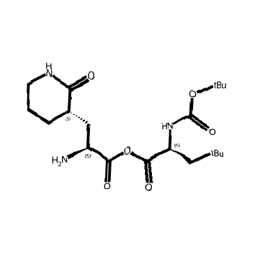 CC(C)(C)C[C@H](NC(=O)OC(C)(C)C)C(=O)OC(=O)[C@@H](N)C[C@@H]1CCCNC1=O